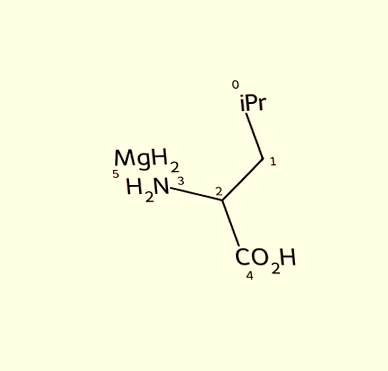 CC(C)CC(N)C(=O)O.[MgH2]